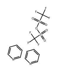 O=S(=O)(OS(=O)(=O)C(F)(F)F)C(F)(F)F.c1ccncc1.c1ccncc1